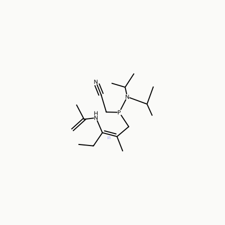 C=C(C)N/C(CC)=C(/C)CP(CC#N)N(C(C)C)C(C)C